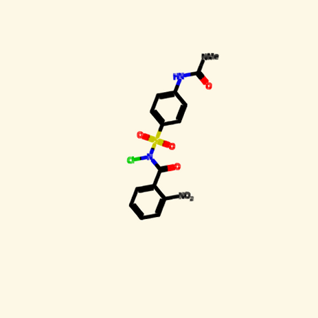 CNC(=O)Nc1ccc(S(=O)(=O)N(Cl)C(=O)c2ccccc2[N+](=O)[O-])cc1